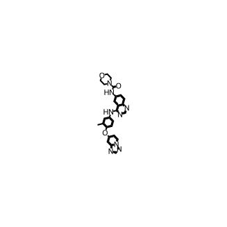 Cc1cc(Nc2ncnc3ccc(NC(=O)N4CCOCC4)cc23)ccc1Oc1ccn2ncnc2c1